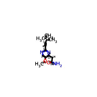 COc1cnc(C#C[Si](C)(C)C)nc1CC(N)=O